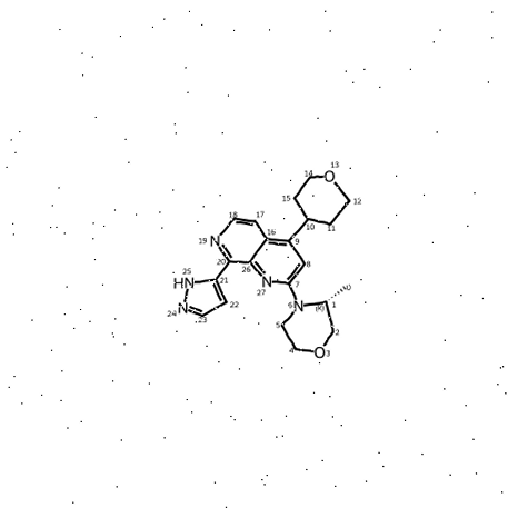 C[C@@H]1COCCN1c1cc(C2CCOCC2)c2ccnc(-c3ccn[nH]3)c2n1